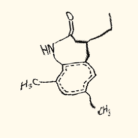 Cc1cc(C)c2c(c1)C(CI)C(=O)N2